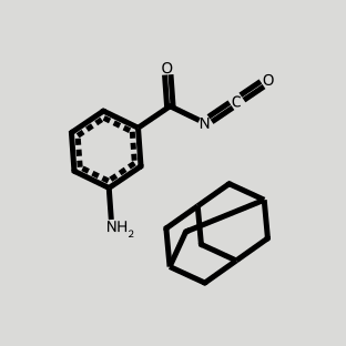 C1C2CC3CC1CC(C2)C3.Nc1cccc(C(=O)N=C=O)c1